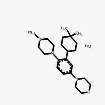 CCCCN1CCN(c2ccc(N3CCOCC3)cc2C2CCC(C)(C)CC2)CC1.Cl